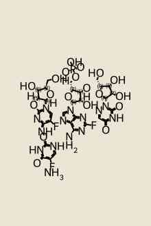 N.N=c1nc2n(cc1F)[C@@H]1O[C@H](CO)[C@@H](O)[C@@H]1O2.Nc1nc(F)nc2c1ncn2[C@@H]1O[C@H](COP(=O)(O)O)[C@@H](O)[C@@H]1O.O=c1[nH]cc(F)c(=O)[nH]1.O=c1cnn([C@@H]2O[C@H](CO)[C@@H](O)[C@H]2O)c(=O)[nH]1